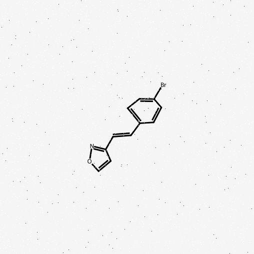 Brc1ccc(C=Cc2ccon2)cc1